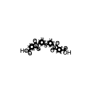 O=C(O)c1ccc2c(c1)C(=O)N(c1cccc(Sc3cccc(N4C(=O)c5ccc(C(=O)O)cc5C4=O)c3)c1)C2=O